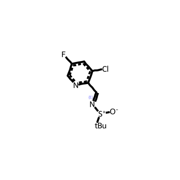 CC(C)(C)[S+]([O-])/N=C/c1ncc(F)cc1Cl